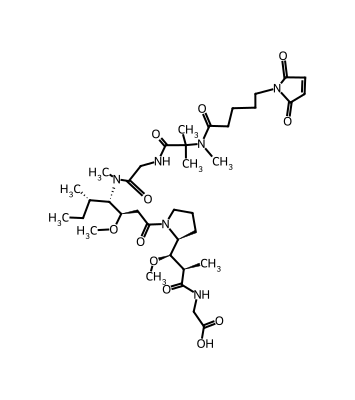 CC[C@H](C)[C@@H]([C@@H](CC(=O)N1CCC[C@H]1[C@H](OC)[C@@H](C)C(=O)NCC(=O)O)OC)N(C)C(=O)CNC(=O)C(C)(C)N(C)C(=O)CCCCN1C(=O)C=CC1=O